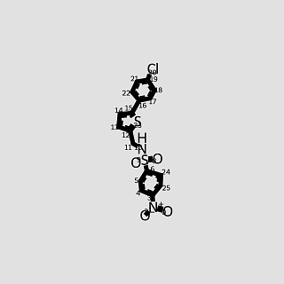 O=[N+]([O-])c1ccc(S(=O)(=O)NCc2ccc(-c3ccc(Cl)cc3)s2)cc1